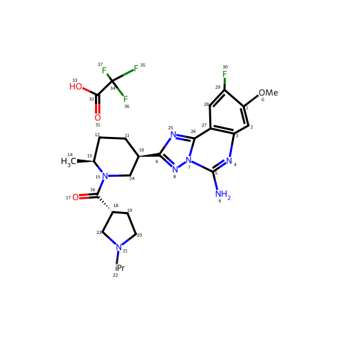 COc1cc2nc(N)n3nc([C@@H]4CC[C@H](C)N(C(=O)[C@@H]5CCN(C(C)C)C5)C4)nc3c2cc1F.O=C(O)C(F)(F)F